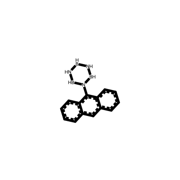 B1NBN(c2c3ccccc3cc3ccccc23)BN1